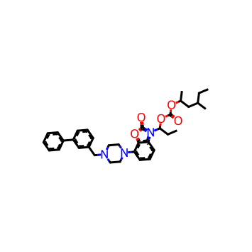 CCC(C)CC(C)OC(=O)OC(CC)n1c(=O)oc2c(N3CCN(Cc4cccc(-c5ccccc5)c4)CC3)cccc21